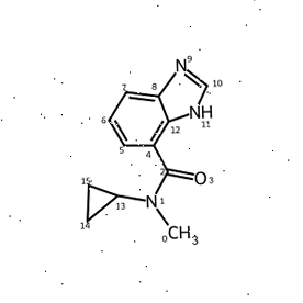 CN(C(=O)c1cccc2nc[nH]c12)C1CC1